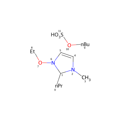 CCCC1N(C)C=CN1OCC.CCCCOS(=O)(=O)O